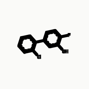 Oc1cc(-c2ccc[c]c2Cl)ccc1F